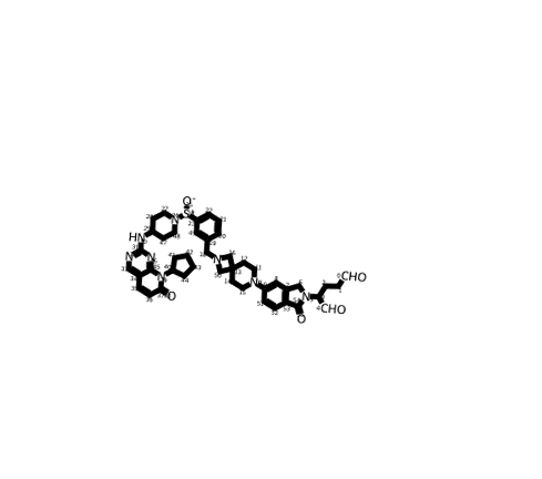 O=CCCC(C=O)N1Cc2cc(N3CCC4(CC3)CN(Cc3cccc([S+]([O-])N5CCC(Nc6ncc7ccc(=O)n(C8CCCC8)c7n6)CC5)c3)C4)ccc2C1=O